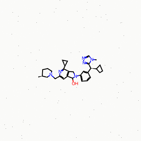 C[C@H]1CCCN(Cc2cc3c(c(C4CC4)n2)CN(c2cccc([C@@H](c4nncn4C)C4CCC4)c2)C3O)C1